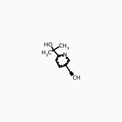 C#Cc1ccc(C(C)(C)O)nc1